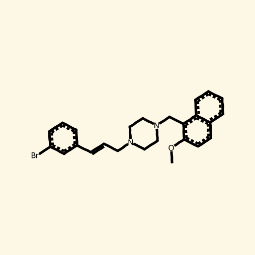 COc1ccc2ccccc2c1CN1CCN(C/C=C/c2cccc(Br)c2)CC1